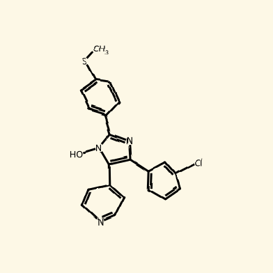 CSc1ccc(-c2nc(-c3cccc(Cl)c3)c(-c3ccncc3)n2O)cc1